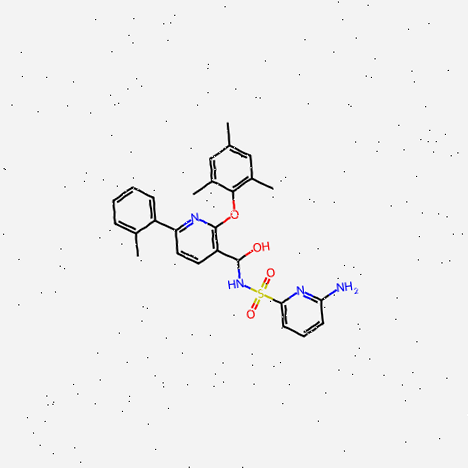 Cc1cc(C)c(Oc2nc(-c3ccccc3C)ccc2C(O)NS(=O)(=O)c2cccc(N)n2)c(C)c1